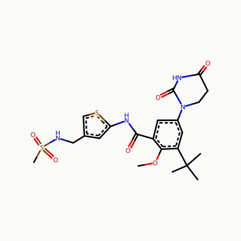 COc1c(C(=O)Nc2cc(CNS(C)(=O)=O)cs2)cc(N2CCC(=O)NC2=O)cc1C(C)(C)C